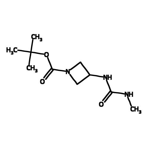 CNC(=O)NC1CN(C(=O)OC(C)(C)C)C1